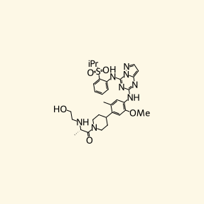 COc1cc(C2CCN(C(=O)[C@H](C)NCCO)CC2)c(C)cc1Nc1nc(Nc2ccccc2S(=O)(=O)C(C)C)n2nccc2n1